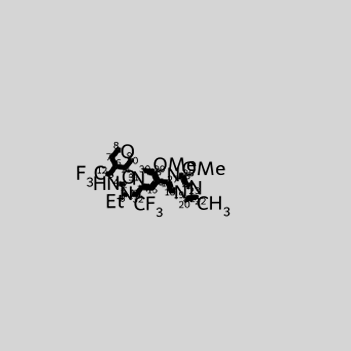 CCN(C(=O)NC(C1CCOCC1)C(F)(F)F)[C@@H](c1cc(-c2cn3cc(C)nc3c(OC)n2)c(OC)cn1)C(F)(F)F